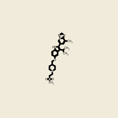 Cc1cc(-c2[nH]c3ccc(OCC4CCN(CCS(C)(=O)=O)CC4)cc3c2C(C)C)cn2ncnc12